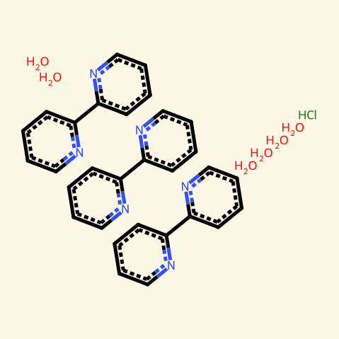 Cl.O.O.O.O.O.O.c1ccc(-c2ccccn2)nc1.c1ccc(-c2ccccn2)nc1.c1ccc(-c2ccccn2)nc1